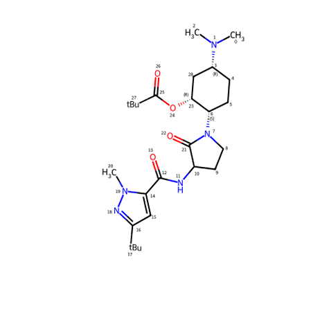 CN(C)[C@@H]1CC[C@H](N2CCC(NC(=O)c3cc(C(C)(C)C)nn3C)C2=O)[C@H](OC(=O)C(C)(C)C)C1